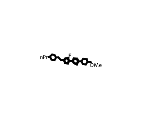 CCCC1CCC(CCc2ccc(-c3ccc(C4CCC(COC)CC4)cc3)c(F)c2)CC1